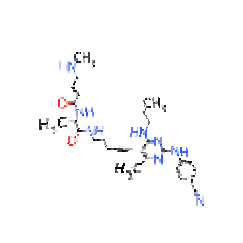 CCCNc1nc(Nc2ccc(C#N)cc2)nc(C)c1C#CCCCNC(=O)[C@H](C)NC(=O)/C=C/CNC